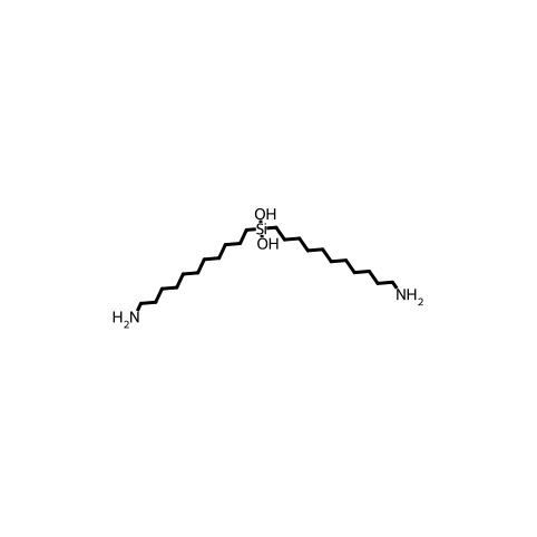 NCCCCCCCCCCC[Si](O)(O)CCCCCCCCCCCN